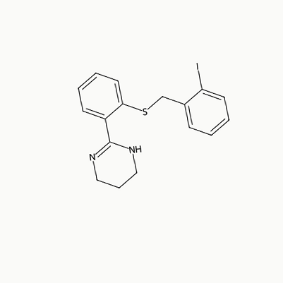 Ic1ccccc1CSc1ccccc1C1=NCCCN1